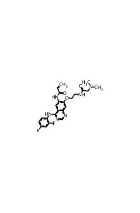 C=CC(=O)Nc1cc2c(Nc3ccc(F)cc3F)ncnc2cc1OCCNC(=O)CN(C)C